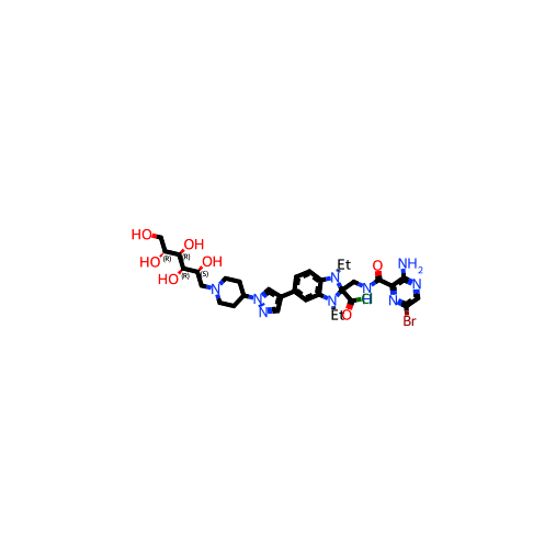 CCN1c2ccc(-c3cnn(C4CCN(C[C@H](O)[C@@H](O)[C@H](O)[C@H](O)CO)CC4)c3)cc2N(CC)C1(CNC(=O)c1nc(Br)cnc1N)C(=O)Cl